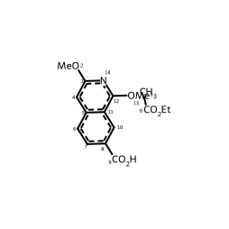 CCOC(C)=O.COc1cc2ccc(C(=O)O)cc2c(OC)n1